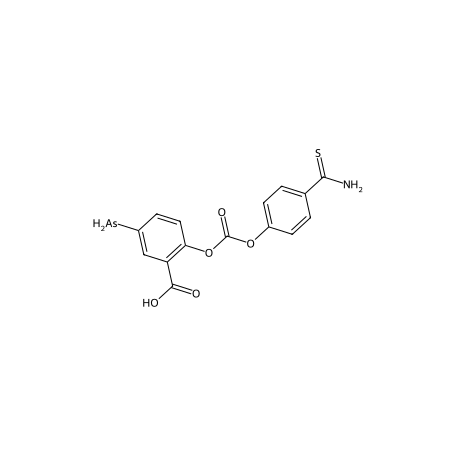 NC(=S)c1ccc(OC(=O)Oc2ccc([AsH2])cc2C(=O)O)cc1